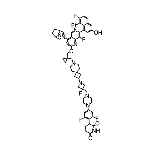 CCc1c(F)ccc2cc(O)cc(-c3ncc4c(N5CC6CCC(C5)N6)nc(OCC5(CN6CCC7(CC6)CC(N6CC(F)(CN8CCN(c9cc(F)c(C%10CCC(=O)NC%10=O)c(F)c9)CC8)C6)C7)CC5)nc4c3F)c12